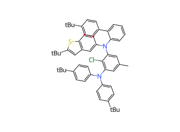 Cc1cc(N(c2ccc(C(C)(C)C)cc2)c2ccc(C(C)(C)C)cc2)c(Cl)c(N(c2ccc3sc(C(C)(C)C)cc3c2)c2ccccc2-c2ccc(C(C)(C)C)cc2)c1